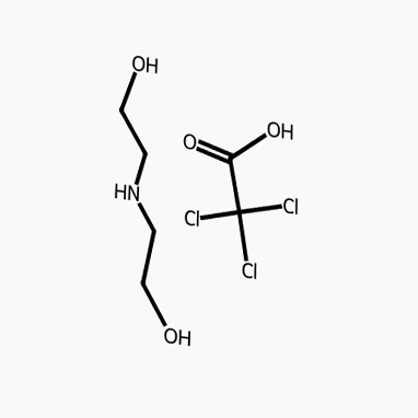 O=C(O)C(Cl)(Cl)Cl.OCCNCCO